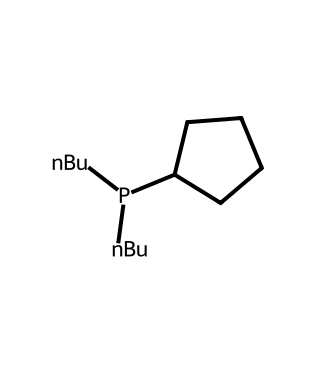 CCCCP(CCCC)C1CCCC1